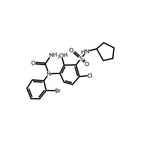 NC(=O)N(c1ccccc1Br)c1ccc(Cl)c(S(=O)(=O)NC2CCCC2)c1O